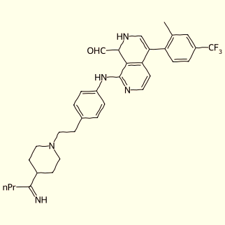 CCCC(=N)C1CCN(CCc2ccc(Nc3nccc4c3C(C=O)NC=C4c3ccc(C(F)(F)F)cc3C)cc2)CC1